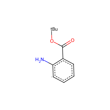 CC(C)(C)OC(=O)c1ccc[c]c1N